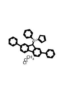 C.C1=CC[C]([Zr+2]([c]2ccccc2)[CH]2c3cc(-c4ccccc4)ccc3-c3ccc(-c4ccccc4)cc32)=C1.[Cl-].[Cl-]